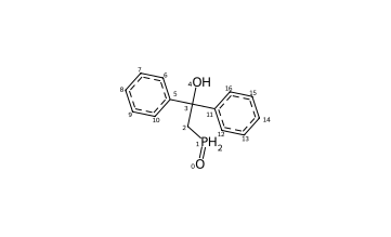 O=[PH2]CC(O)(c1ccccc1)c1ccccc1